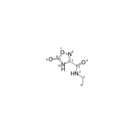 CCNC(=O)c1noc(=O)[nH]1